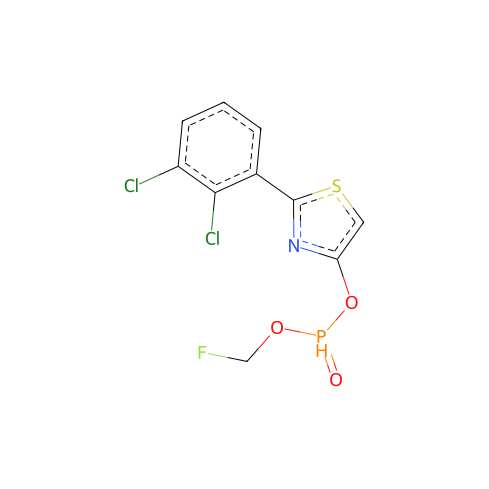 O=[PH](OCF)Oc1csc(-c2cccc(Cl)c2Cl)n1